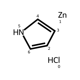 Cl.[Zn].c1cc[nH]c1